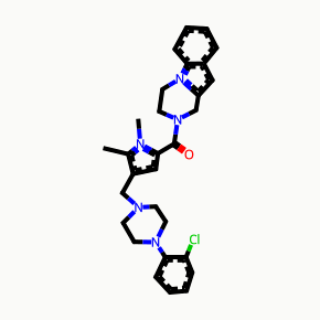 Cc1c(CN2CCN(c3ccccc3Cl)CC2)cc(C(=O)N2CCn3c(cc4ccccc43)C2)n1C